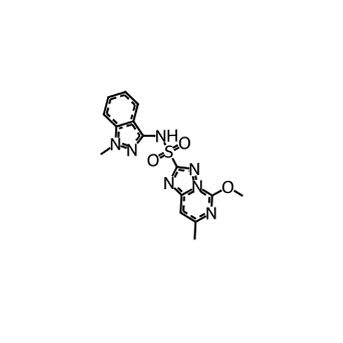 COc1nc(C)cc2nc(S(=O)(=O)Nc3nn(C)c4ccccc34)nn12